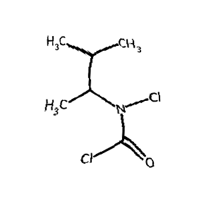 CC(C)C(C)N(Cl)C(=O)Cl